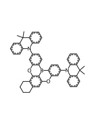 CC1(C)c2ccccc2N(c2ccc3c(c2)Oc2cc4c(c5c2B3c2ccc(N3c6ccccc6C(C)(C)c6ccccc63)cc2O5)CCCC4)c2ccccc21